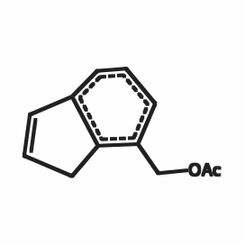 CC(=O)OCc1cccc2c1CC=C2